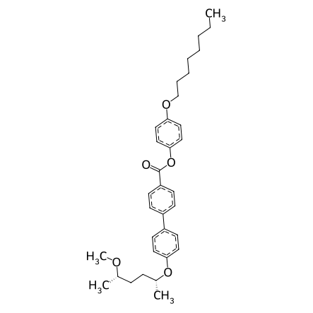 CCCCCCCCOc1ccc(OC(=O)c2ccc(-c3ccc(O[C@H](C)CC[C@H](C)OC)cc3)cc2)cc1